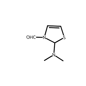 CN(C)C1SC=CN1C=O